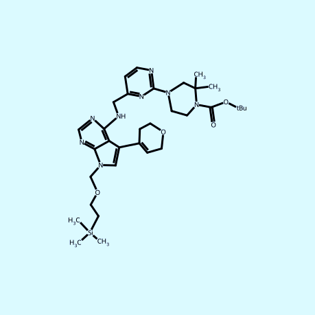 CC(C)(C)OC(=O)N1CCN(c2nccc(CNc3ncnc4c3c(C3=CCOCC3)cn4COCC[Si](C)(C)C)n2)CC1(C)C